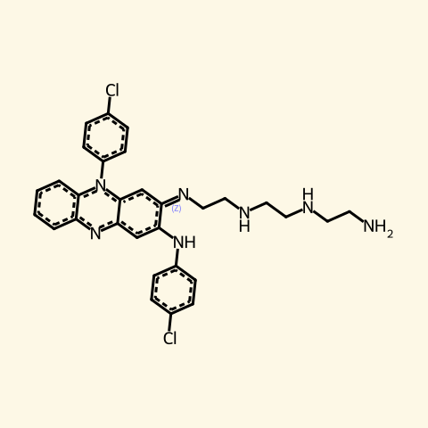 NCCNCCNCC/N=c1/cc2n(-c3ccc(Cl)cc3)c3ccccc3nc-2cc1Nc1ccc(Cl)cc1